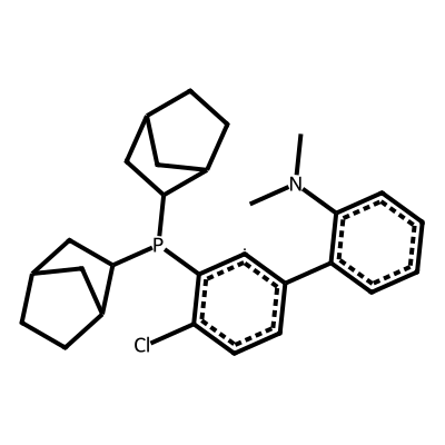 CN(C)c1ccccc1-c1[c]c(P(C2CC3CCC2C3)C2CC3CCC2C3)c(Cl)cc1